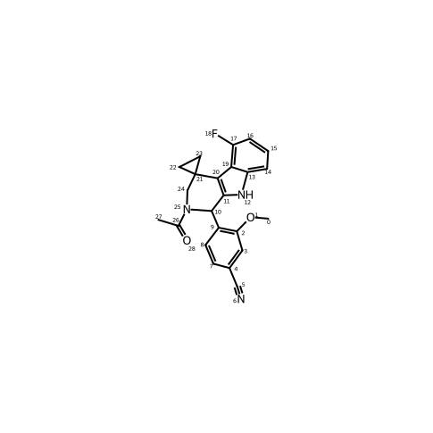 COc1cc(C#N)ccc1C1c2[nH]c3cccc(F)c3c2C2(CC2)CN1C(C)=O